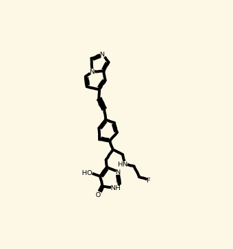 O=c1[nH]cnc(CC(CNCCF)c2ccc(C#Cc3ccn4cncc4c3)cc2)c1O